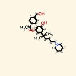 C=C(C)[C@H]1CCC(CO)=C[C@@H]1c1c(O)cc(C(C)(C)CCCCN2CCCCC2)cc1O